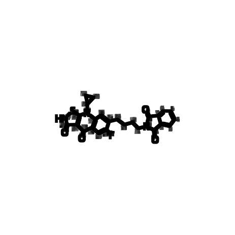 O=C1c2ccccc2C(=O)N1CCCCc1cc2c(cc1F)c(=O)c1c(=O)[nH]sc1n2C1CC1